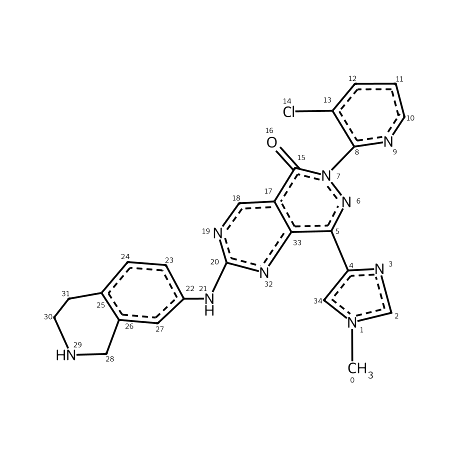 Cn1cnc(-c2nn(-c3ncccc3Cl)c(=O)c3cnc(Nc4ccc5c(c4)CNCC5)nc23)c1